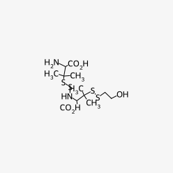 CC(C)(SSNC(C(=O)O)C(C)(C)SSCCO)C(N)C(=O)O